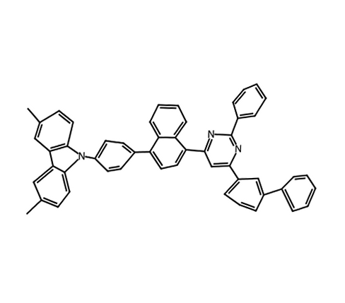 Cc1ccc2c(c1)c1cc(C)ccc1n2-c1ccc(-c2ccc(-c3cc(-c4cccc(-c5ccccc5)c4)nc(-c4ccccc4)n3)c3ccccc23)cc1